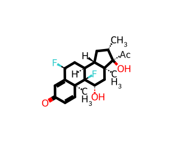 CC(=O)[C@@]1(O)[C@@H](C)C[C@H]2[C@@H]3C[C@H](F)C4=CC(=O)C=C[C@]4(C)[C@@]3(F)[C@@H](O)C[C@@]21C